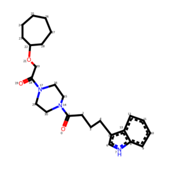 O=C(CCCc1c[nH]c2ccccc12)N1CCN(C(=O)COC2CCCCCC2)CC1